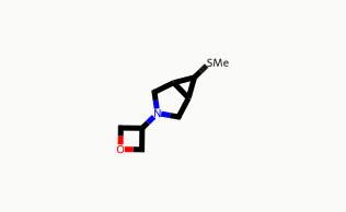 CSC1C2CN(C3COC3)CC21